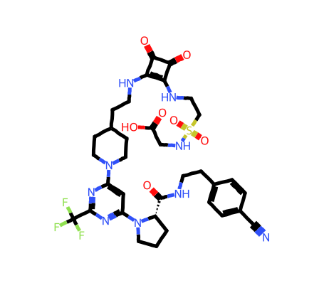 N#Cc1ccc(CCNC(=O)[C@@H]2CCCN2c2cc(N3CCC(CCNc4c(NCCS(=O)(=O)NCC(=O)O)c(=O)c4=O)CC3)nc(C(F)(F)F)n2)cc1